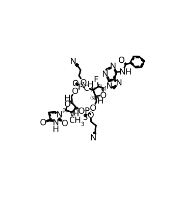 C[C@@H]1[C@@H]2OP(=S)(OCCC#N)OC[C@H]3O[C@@H](n4cnc5c(NC(=O)c6ccccc6)ncnc54)[C@H](F)[C@@H]3CP(=O)(OCCC#N)OC[C@H]2O[C@H]1n1ccc(=O)[nH]c1=O